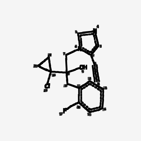 C#Cc1cncn1CC(O)(Cc1ccccc1F)C1(Cl)CC1